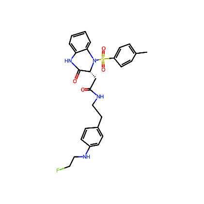 Cc1ccc(S(=O)(=O)N2c3ccccc3NC(=O)[C@H]2CC(=O)NCCc2ccc(NCCF)cc2)cc1